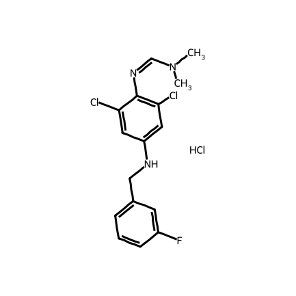 CN(C)/C=N\c1c(Cl)cc(NCc2cccc(F)c2)cc1Cl.Cl